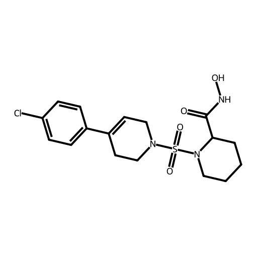 O=C(NO)C1CCCCN1S(=O)(=O)N1CC=C(c2ccc(Cl)cc2)CC1